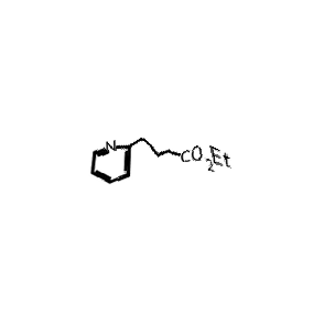 CCOC(=O)CCCc1ccccn1